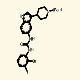 CCCC(C)N1CCC(c2c[nH]c3ccc(NC(=O)Nc4cccc(I)c4Br)cc23)CC1